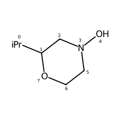 CC(C)C1CN(O)CCO1